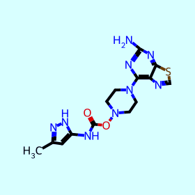 Cc1cc(NC(=O)ON2CCN(c3nc(N)nc4scnc34)CC2)[nH]n1